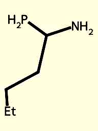 CCCCC(N)P